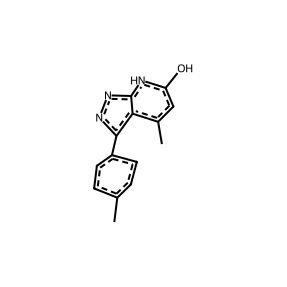 Cc1ccc(-c2nnc3[nH]c(O)cc(C)c2-3)cc1